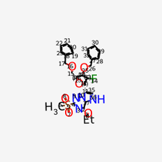 CCOC1=NC(S(C)(=O)=O)=NN2C([C@@H]3O[C@H](COCc4ccccc4)[C@@H](OCc4ccccc4)[C@H]3F)=CNC12